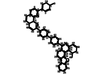 CC1C=CC(c2ccc3c(n2)C2N=C(c4ccc(-c5ccc(-c6nc7c(c8c6ccc6c9ccccc9oc68)C(C)CC=C7)cc5)nc4)C=CC2C=C3)=CC1